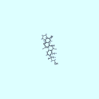 Cc1nc(NC(C)c2cccc(C(F)(F)CCO)c2F)c2cc(Br)c3c(c2n1)CCC3